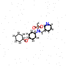 CS(=O)(=O)N(Cc1cccnc1)c1ccc(OC2CCCCC2)cc1